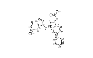 O=C(O)Cc1cn(Cc2csc3ccc(Cl)cc23)c2cc(-c3cccnc3)ccc12